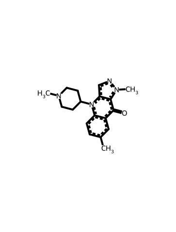 Cc1ccc2c(c1)c(=O)c1c(cnn1C)n2C1CCN(C)CC1